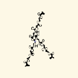 C=C(C)C(=O)OCCOC(=O)COC(=O)NC/N=c1\oc(=O)n(CNC(=O)OCC(=O)OCCOC(=O)C(=C)C)c(=O)n1CNC(=O)OCC(=O)OCCOC(=O)C(=C)C